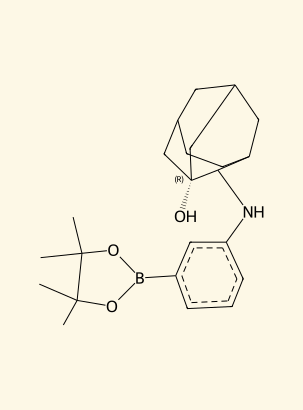 CC1(C)OB(c2cccc(NC3C4CCC5CC(C4)C[C@]3(O)C5)c2)OC1(C)C